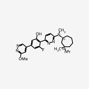 CCC[C@]1(C)CCCC[C@H](N(C)c2ccc(-c3c(O)cc(-c4cnnc(OC)c4)cc3F)nn2)C1